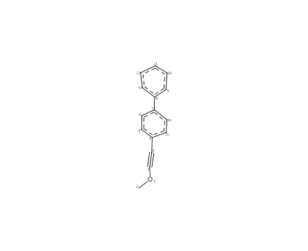 COC#Cc1ccc(-c2ccccc2)cc1